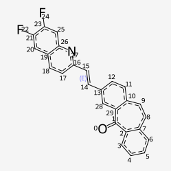 O=c1c2ccccc2ccc2ccc(/C=C/c3ccc4cc(F)c(F)cc4n3)cc12